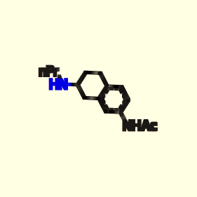 CCCNC1CCc2ccc(NC(C)=O)cc2C1